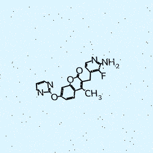 Cc1c(Cc2ccnc(N)c2F)c(=O)oc2cc(Oc3ncccn3)ccc12